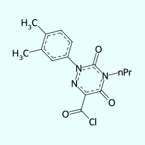 CCCn1c(=O)c(C(=O)Cl)nn(-c2ccc(C)c(C)c2)c1=O